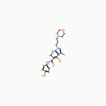 Cc1cn(CCCN2CCOCC2)c2ncc(C(=O)Nc3ccc(Cl)cc3)c(Cl)c12